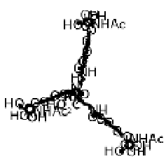 CC(=O)N[C@@H]1[C@H](OCCOCCOCCOCC(=O)NCCCC[C@H](NC(=O)COCCOCCOCCO[C@@H]2C[C@H](CO)[C@H](O)[C@H](O)[C@H]2NC(C)=O)C(=O)N[C@@H](CCCCNC(=O)COCCOCCOCCO[C@@H]2O[C@H](CO)[C@H](O)[C@H](O)[C@H]2NC(C)=O)C(=O)O)O[C@H](CO)[C@H](O)[C@@H]1O